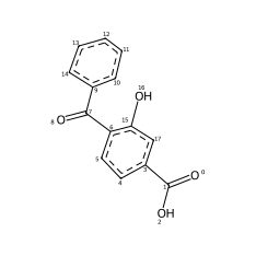 O=C(O)c1ccc(C(=O)c2ccccc2)c(O)c1